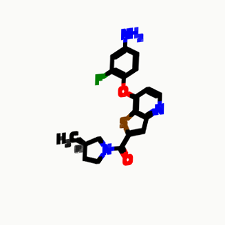 C[C@@H]1CCN(C(=O)c2cc3nccc(Oc4ccc(N)cc4F)c3s2)C1